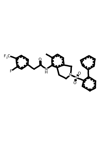 Cc1ccc2c(c1NC(=O)Cc1ccc(C(F)(F)F)c(F)c1)CCN(S(=O)(=O)c1ccccc1-c1ccccc1)C2